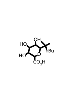 CCCCC(C)(C)C1OC(C(=O)O)C(O)C(O)C1O